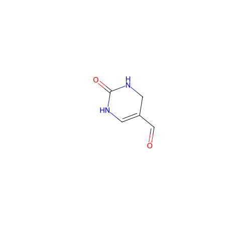 O=CC1=CNC(=O)NC1